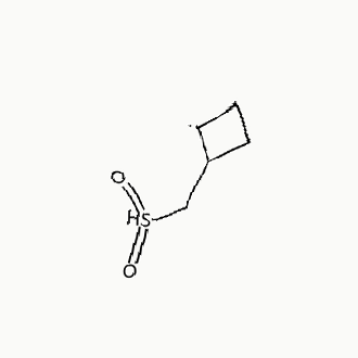 O=[SH](=O)CC1[CH]CC1